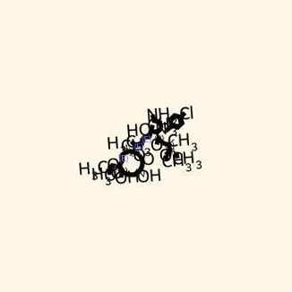 CC[C@H](OC)[C@@H](C)C1O[C@@H]1C(N(CCN)Cc1ccc(Cl)cc1)C(C)(O)/C=C/C=C(\C)[C@H]1OC(=O)C[C@H](O)CC[C@@](C)(O)[C@@H](OC(C)=O)/C=C/[C@@H]1C